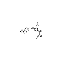 CCOC(=O)C(C)(C)Nc1ccc(OCCN2CCN(C(=O)OC(C)(C)C)[C@H](C)C2)c(CC(F)F)c1